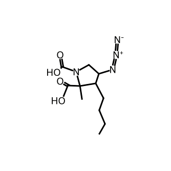 CCCCC1C(N=[N+]=[N-])CN(C(=O)O)C1(C)C(=O)O